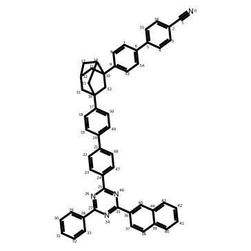 N#Cc1ccc(-c2ccc(C34CC5CC3CC(c3ccc(-c6ccc(-c7nc(-c8ccccc8)nc(-c8ccc9ccccc9c8)n7)cc6)cc3)(C5)C4)cc2)cc1